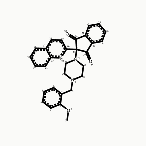 COc1ccccc1CN1CCN(C2(c3ccc4ccccc4n3)C(=O)c3ccccc3C2=O)CC1